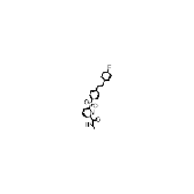 CNC(=O)c1cccc(S(=O)(=O)c2ccc(C=Cc3ccc(F)cc3)cc2)n1